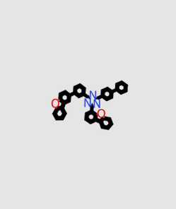 c1ccc(-c2ccc(-c3nc(-c4cccc(-c5ccc6oc7ccccc7c6c5)c4)nc(-c4cccc5c4oc4ccccc45)n3)cc2)cc1